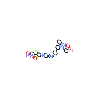 O=C1CCC(c2c(F)cc(N3CCC4(CC3)CN(CC3CCC(c5ccc6c(c5)-n5c(nc(=O)c7c(Br)cccc75)C65CCCCC5)CC3)C4)cc2F)C(=O)N1